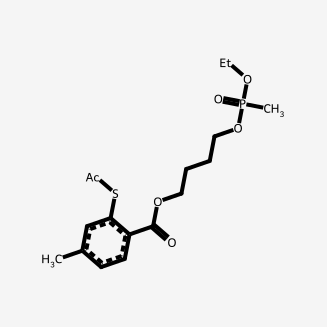 CCOP(C)(=O)OCCCCOC(=O)c1ccc(C)cc1SC(C)=O